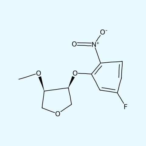 CO[C@@H]1COC[C@@H]1Oc1cc(F)ccc1[N+](=O)[O-]